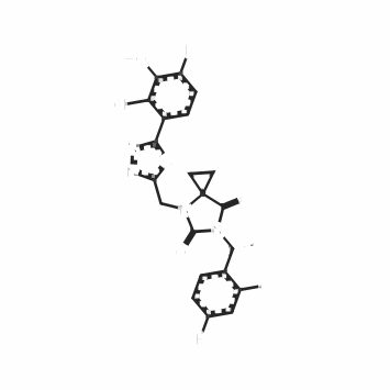 O=C1N([C@@H](c2ccc(F)cc2F)C(F)(F)F)C(=O)C2(CC2)N1Cc1nnc(-c2ccc(F)c(O)c2Cl)s1